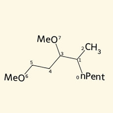 CCCCCC(C)C(CCOC)OC